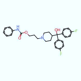 O=C(Nc1ccccc1)OCCCN1CCC(C(O)(c2ccc(F)cc2)c2ccc(F)cc2)CC1